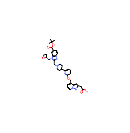 COC(=O)Cc1cc2c(COc3cccc(C4CCN(Cc5nc6ccc(C(=O)OC(C)(C)C)cc6n5C[C@@H]5CCO5)CC4)n3)cccn2n1